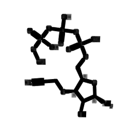 C#CCO[C@@H]1C(O)[C@H](N)O[C@@H]1COP(=O)(O)OP(=O)(O)OP(=O)(O)OO